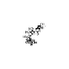 Cc1cc2cn([C@@H]3O[C@H](COP(=O)(O)OP(=O)(O)OP(=O)(O)O)C(O)[C@@H]3O)c(=O)nc2[nH]1